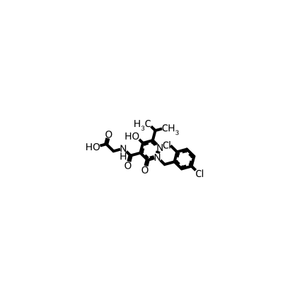 CC(C)c1nn(Cc2cc(Cl)ccc2Cl)c(=O)c(C(=O)NCC(=O)O)c1O